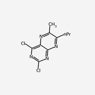 CCCc1nc2nc(Cl)nc(Cl)c2nc1C